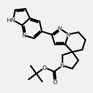 CC(C)(C)OC(=O)N1CCC2(CCCn3nc(-c4cnc5[nH]ccc5c4)cc32)C1